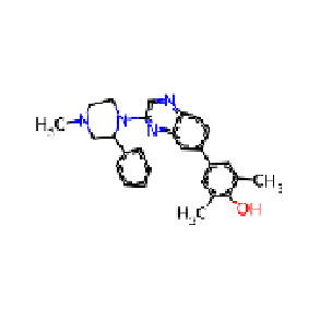 Cc1cc(-c2ccc3ncc(N4CCN(C)CC4c4ccccc4)nc3c2)cc(C)c1O